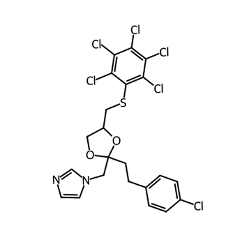 Clc1ccc(CCC2(Cn3ccnc3)OCC(CSc3c(Cl)c(Cl)c(Cl)c(Cl)c3Cl)O2)cc1